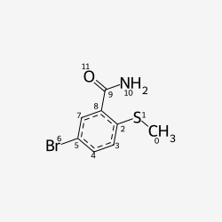 CSc1ccc(Br)cc1C(N)=O